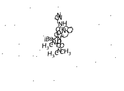 CC[C@H](C)[C@@H](C(=O)N[C@H]1CCc2cccc3c2N(C1=O)[C@H](C(=O)NCC1=CCN=N1)C3)N(C)C(=O)CC(=O)N(C)C